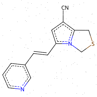 N#Cc1cc(C=Cc2cccnc2)n2c1CSC2